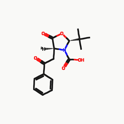 [2H][C@]1(CC(=O)c2ccccc2)C(=O)O[C@H](C(C)(C)C)N1C(=O)O